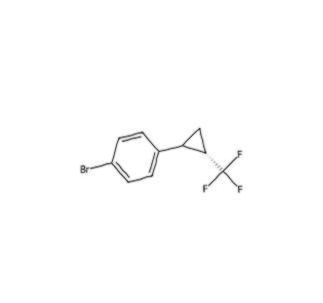 FC(F)(F)[C@H]1CC1c1ccc(Br)cc1